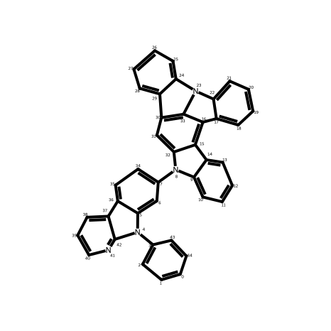 c1ccc(-n2c3cc(-n4c5ccccc5c5c6c7ccccc7n7c8ccccc8c(cc54)c67)ccc3c3cccnc32)cc1